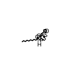 CCCCCCCCCC(=O)NC1C(=O)N(Cc2ccoc2)C(=S)SC1(C)C